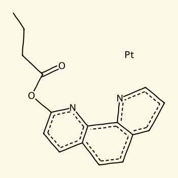 CCCC(=O)Oc1ccc2ccc3cccnc3c2n1.[Pt]